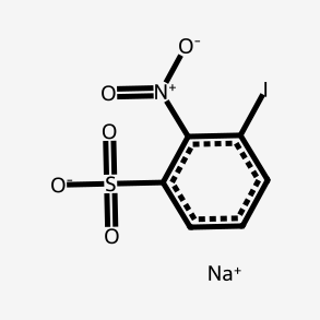 O=[N+]([O-])c1c(I)cccc1S(=O)(=O)[O-].[Na+]